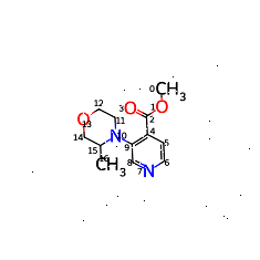 COC(=O)c1ccncc1N1CCOCC1C